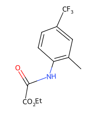 CCOC(=O)C(=O)Nc1ccc(C(F)(F)F)cc1C